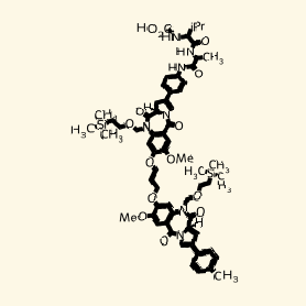 COc1cc2c(cc1OCCCOc1cc3c(cc1OC)C(=O)N1C=C(c4ccc(NC(=O)C(C)NC(=O)C(NC(=O)O)C(C)C)cc4)C[C@H]1C(=O)N3COCC[Si](C)(C)C)N(COCC[Si](C)(C)C)C(=O)[C@@H]1CC(c3ccc(C)cc3)=CN1C2=O